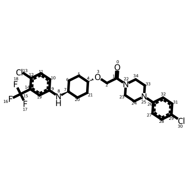 O=C(CO[C@H]1CC[C@H](Nc2ccc(Cl)c(C(F)(F)F)c2)CC1)N1CCN(c2ccc(Cl)cc2)CC1